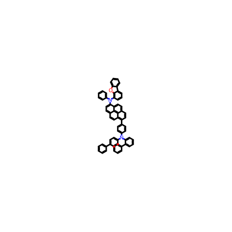 c1ccc(-c2ccc(N(c3ccc(-c4ccc5ccc6c(N(c7ccccc7)c7cccc8c7oc7ccccc78)ccc7ccc4c5c76)cc3)c3ccccc3-c3ccccc3)cc2)cc1